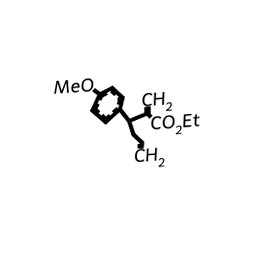 C=CCC(C(=C)C(=O)OCC)c1ccc(OC)cc1